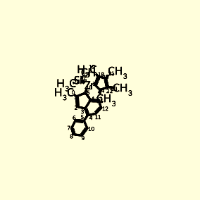 CC1=Cc2c(-c3ccccc3)cccc2[CH]1[Zr]([C]1=C(C)C(C)=C(C)C1C)=[Si](C)C